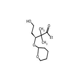 CCC(=O)C(C)(C)[C@H](CCO)OC1CCCCO1